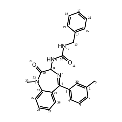 Cc1cccc(C2=NC(NC(=O)NCc3ccccc3)C(=O)N(C)c3ccccc32)c1